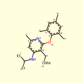 CCC(CC)Nc1cc(C)nc(Oc2c(C)cc(C)cc2C)c1COC